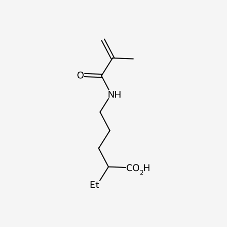 C=C(C)C(=O)NCCCC(CC)C(=O)O